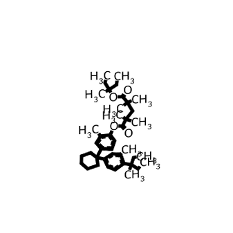 CCC(C)(CC)OC(=O)C(C)(C)CC(C)(C)C(=O)Oc1ccc(C2(c3ccc(C(C)(CC)CC)c(C)c3)CCCCC2)cc1C